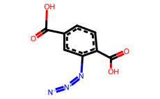 [N-]=[N+]=Nc1cc(C(=O)O)ccc1C(=O)O